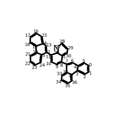 c1ccc2c(c1)cc(-c1ccc(-c3cc4ccccc4c4ccccc34)c3ncccc13)c1ccccc12